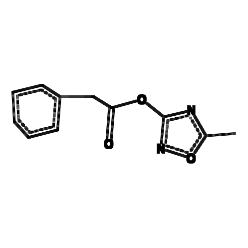 Cc1nc(OC(=O)Cc2ccccc2)no1